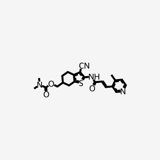 Cc1ccncc1/C=C/C(=O)Nc1sc2c(c1C#N)CCC(COC(=O)N(C)C)C2